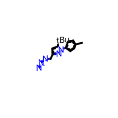 Cc1ccc(-n2nc(CN=[N+]=[N-])cc2C(C)(C)C)cc1